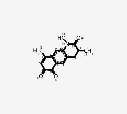 CC1=CC(=O)C(=O)c2cc3c(cc21)N(O)C(=O)C(C)C3